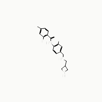 O=C(Nc1ccc(CNCC2CNC2)cc1Cl)c1ccc(Cl)cc1Br